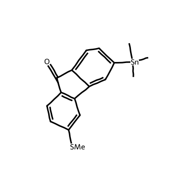 CSc1ccc2c(c1)-c1c[c]([Sn]([CH3])([CH3])[CH3])ccc1C2=O